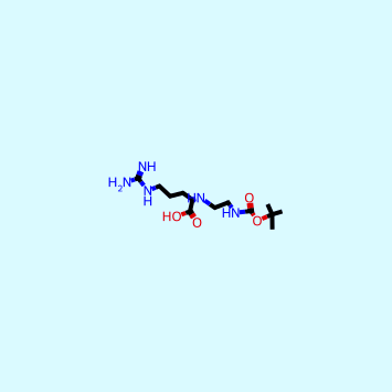 CC(C)(C)OC(=O)NCCNC(CCCNC(=N)N)C(=O)O